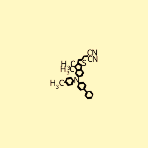 Cc1ccc(N(c2ccc(-c3ccccc3)cc2)c2ccc3c(c2)C(C)(C)c2cc(C=C(C#N)C#N)sc2-3)cc1